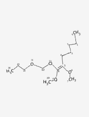 CCCCCC(OC)=C(OC)OCOCCC